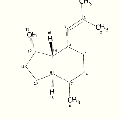 CC(C)=C[C@@H]1CCC(C)[C@H]2CC[C@H](O)[C@H]12